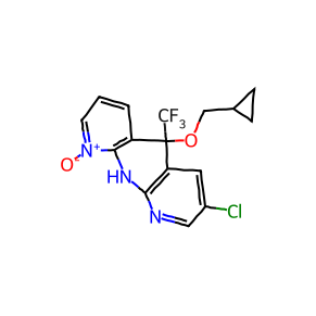 [O-][n+]1cccc2c1Nc1ncc(Cl)cc1C2(OCC1CC1)C(F)(F)F